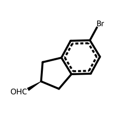 O=C[C@@H]1Cc2ccc(Br)cc2C1